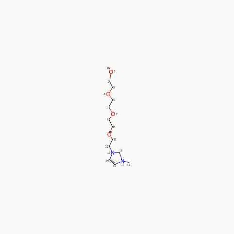 COCCOCCOCCOCCN1C=CN(C)C1